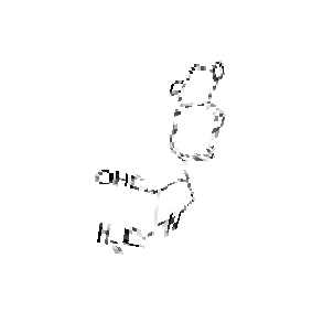 CC1=NCC(c2ccc3c(c2)OCO3)C1C=O